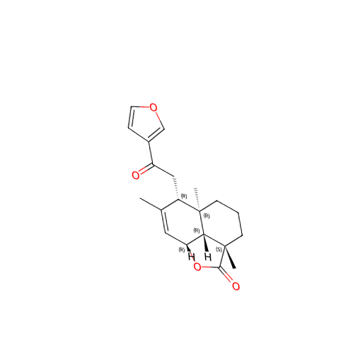 CC1=C[C@H]2OC(=O)[C@@]3(C)CCC[C@@](C)([C@@H]23)[C@H]1CC(=O)c1ccoc1